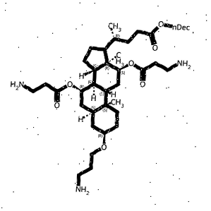 CCCCCCCCCCOC(=O)CC[C@@H](C)C1CC[C@H]2[C@@H]3[C@H](OC(=O)CCN)C[C@@H]4C[C@H](OCCCN)CC[C@]4(C)[C@H]3C[C@H](OC(=O)CCN)[C@]12C